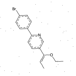 CC=C(OCC)c1ccc(-c2ccc(Br)cc2)nc1